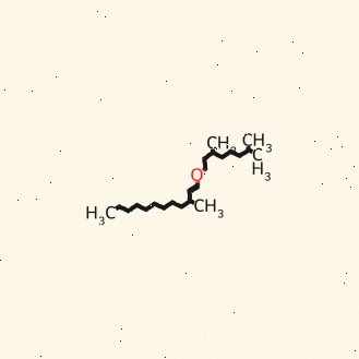 CCCCCCCCCC(C)C=COCCC(C)CCCC(C)C